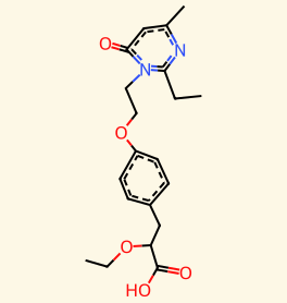 CCOC(Cc1ccc(OCCn2c(CC)nc(C)cc2=O)cc1)C(=O)O